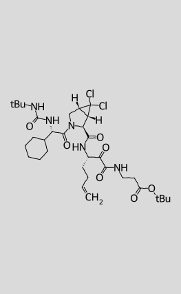 C=CCC[C@H](NC(=O)[C@@H]1[C@@H]2[C@H](CN1C(=O)[C@@H](NC(=O)NC(C)(C)C)C1CCCCC1)C2(Cl)Cl)C(=O)C(=O)NCCC(=O)OC(C)(C)C